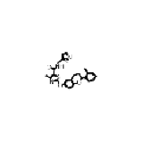 Cc1ccccc1C1CCc2cc(Oc3nc(C)c(C(=O)NCc4ccno4)s3)ccc2O1